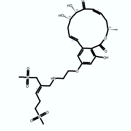 C[C@H]1C/C=C\C(=O)[C@@H](O)[C@@H](O)C/C=C/c2cc(OCCNC/C(=C\CCS(C)(=O)=O)CS(C)(=O)=O)cc(O)c2C(=O)O1